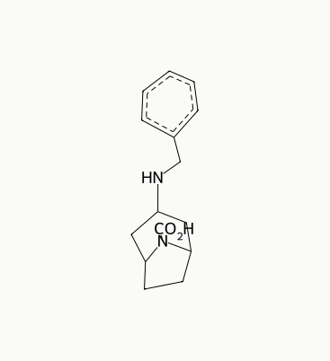 O=C(O)N1C2CCC1CC(NCc1ccccc1)C2